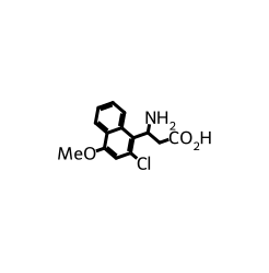 COc1cc(Cl)c(C(N)CC(=O)O)c2ccccc12